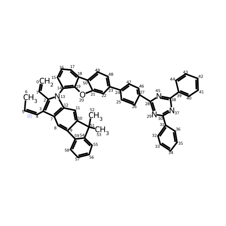 C=Cc1c(/C=C\C)c2cc3c(cc2n1-c1cccc2c1oc1cc(-c4ccc(-c5nc(-c6ccccc6)nc(-c6ccccc6)n5)cc4)ccc12)C(C)(C)c1ccccc1-3